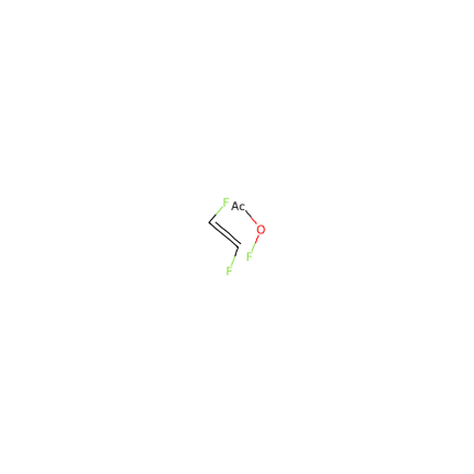 CC(=O)OF.FC=CF